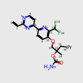 C=Cc1nccc(-c2ccc(OCC(C)(CC(C)C)OC(N)=O)c(C(F)F)n2)n1